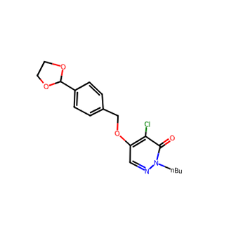 CCCCn1ncc(OCc2ccc(C3OCCO3)cc2)c(Cl)c1=O